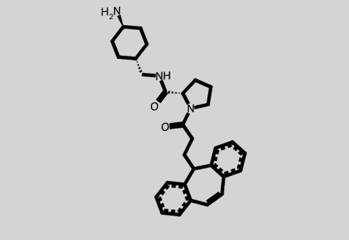 N[C@H]1CC[C@H](CNC(=O)[C@@H]2CCCN2C(=O)CCC2c3ccccc3C=Cc3ccccc32)CC1